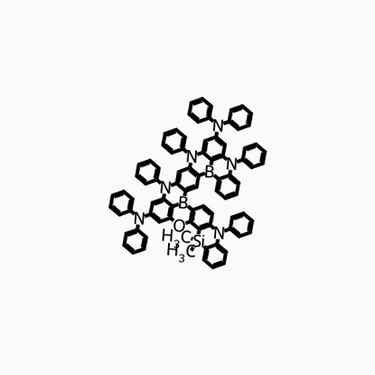 C[Si]1(C)c2ccccc2N(c2ccccc2)c2ccc3c(c21)Oc1cc(N(c2ccccc2)c2ccccc2)cc2c1B3c1cc3c(cc1N2c1ccccc1)N(c1ccccc1)c1cc(N(c2ccccc2)c2ccccc2)cc2c1B3c1ccccc1N2c1ccccc1